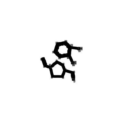 C=CN1CCC(C=O)CC1.Oc1ccccc1O